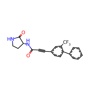 O=C(C#Cc1ccc(-c2ccccc2)c(C(F)(F)F)c1)N[C@H]1CCNC1=O